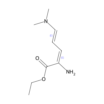 CCOC(=O)/C(N)=C\C=C\N(C)C